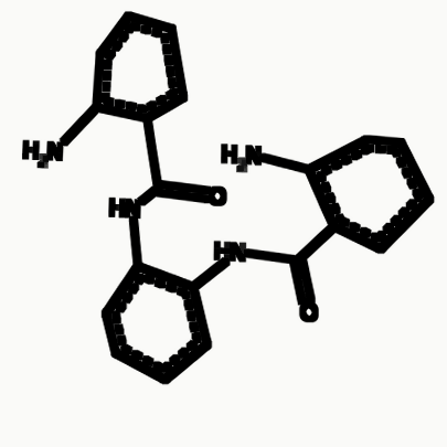 Nc1ccccc1C(=O)Nc1ccccc1NC(=O)c1ccccc1N